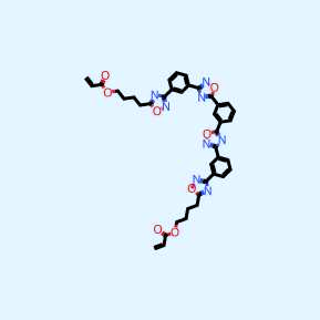 C=CC(=O)OCCCCc1nc(-c2cccc(-c3noc(-c4cccc(-c5nc(-c6cccc(-c7noc(CCCCOC(=O)C=C)n7)c6)no5)c4)n3)c2)no1